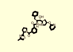 Cc1csc(C2CCCN2C(=O)c2cccc(C(=O)N[C@@H](Cc3ccccc3)[C@H](O)[C@H]3C[C@@H](Oc4ccccn4)CN3)c2)n1